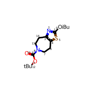 CC(C)COc1nc2c(s1)CCN(C(=O)OC(C)(C)C)CC2